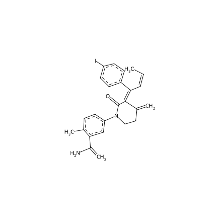 C=C1CCN(c2ccc(C)c(C(=C)N)c2)C(=O)/C1=C(/C=C\C)c1ccc(I)cc1